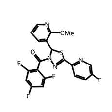 COc1ncccc1C1SC(c2ccc(F)cn2)=NN1C(=O)c1c(F)cc(F)cc1F